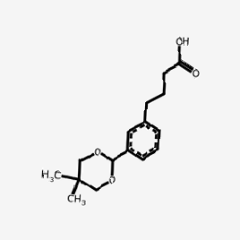 CC1(C)COC(c2cccc(CCCC(=O)O)c2)OC1